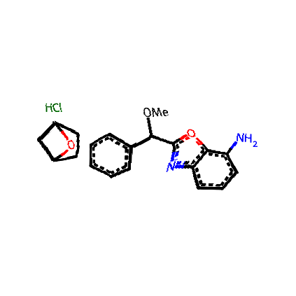 C1CC2CC1O2.COC(c1ccccc1)c1nc2cccc(N)c2o1.Cl